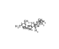 Cc1cc(C)cc(Nc2ncc3c(n2)CCN(C(=O)OC(C)(C)C)C3C)c1